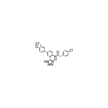 O=C(Cc1ccc(Cl)cc1)Nc1ccc(-c2ccc(OC(F)(F)F)cc2)cc1-c1nnn[nH]1